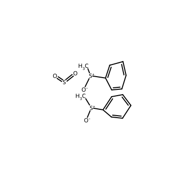 C[S+]([O-])c1ccccc1.C[S+]([O-])c1ccccc1.O=S=O